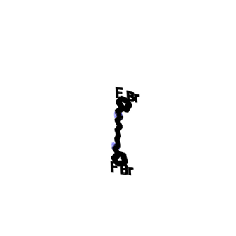 Fc1cc(/C=C/CCCCC/C=C/c2ccc(Br)c(F)c2)ccc1Br